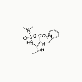 Cc1nn(Cc2ccccc2)c(C(=O)O)c1NS(=O)(=O)N(C)C